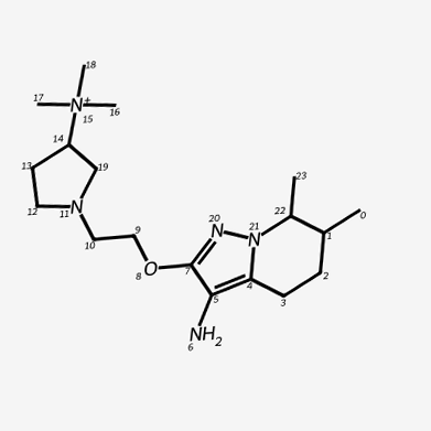 CC1CCc2c(N)c(OCCN3CCC([N+](C)(C)C)C3)nn2C1C